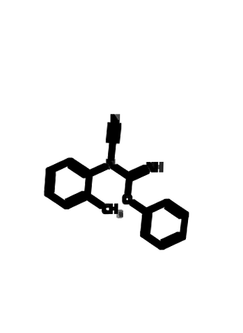 Cc1ccccc1N(C#N)C(=N)Oc1ccccc1